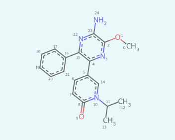 COc1nc(-c2ccc(=O)n(C(C)C)c2)c(-c2ccccc2)nc1N